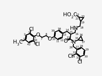 Cc1cc(Cl)c(OCCOc2ccc(CC(CNCC3CC3C(=O)O)C(=O)N(Cc3cccc(Cl)c3Cl)C3CC3)cc2)c(Cl)c1